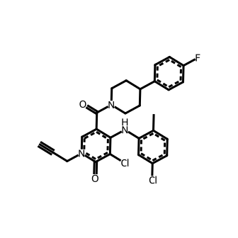 C#CCn1cc(C(=O)N2CCC(c3ccc(F)cc3)CC2)c(Nc2cc(Cl)ccc2C)c(Cl)c1=O